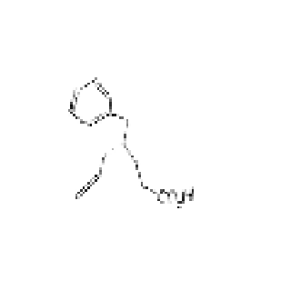 C=CC[C@@H](CCC(=O)O)Cc1ccccc1